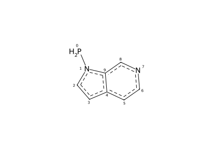 Pn1ccc2ccncc21